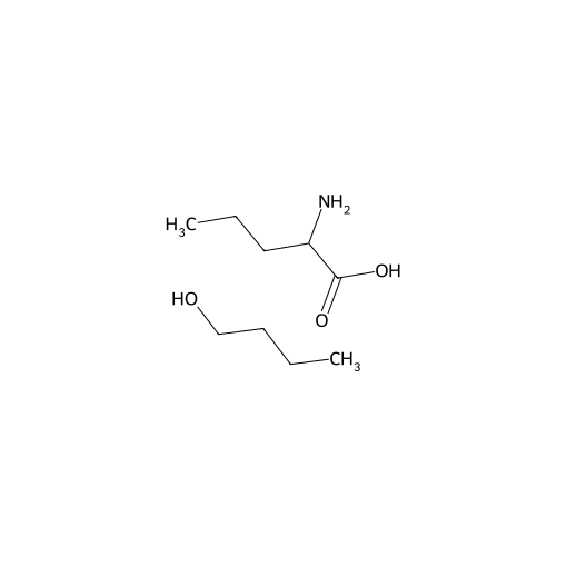 CCCC(N)C(=O)O.CCCCO